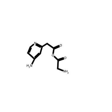 NCC(=O)OC(=O)Cc1cc(N)ccn1